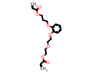 C=CC(=O)OCCCOc1ccccc1OCCOCCOC(=O)C=C